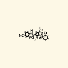 CCC1CCCCN1S(=O)(=O)c1cc(C(=O)Nc2ccc(C#N)cc2C(=O)O)sc1C